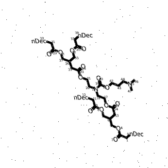 CCCCCCCCCCCC(=O)OCC(COC(=O)CCCCCCCCCCC)CC(=O)OCCN(CCOC(=O)CC(COC(=O)CCCCCCCCCCC)COC(=O)CCCCCCCCCCC)C(=O)OCCCN(C)C